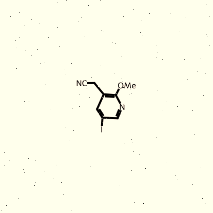 COc1ncc(I)cc1CC#N